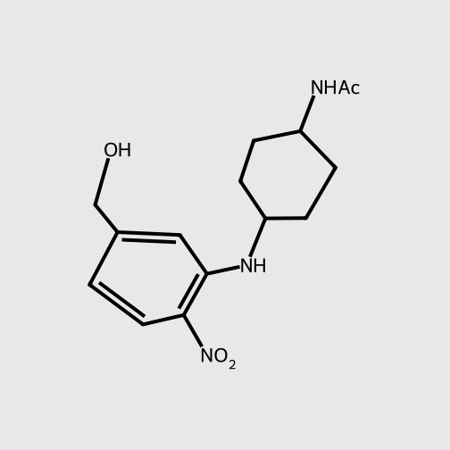 CC(=O)NC1CCC(Nc2cc(CO)ccc2[N+](=O)[O-])CC1